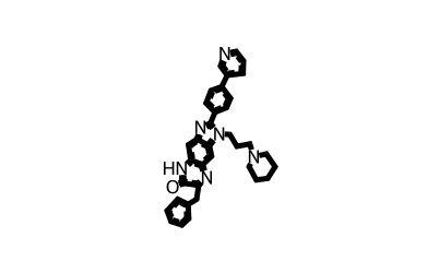 O=c1[nH]c2cc3nc(-c4ccc(-c5cccnc5)cc4)n(CCCN4CCCCC4)c3cc2nc1Cc1ccccc1